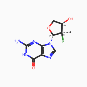 C[C@@]1(F)[C@H](O)CO[C@H]1n1cnc2c(=O)[nH]c(N)nc21